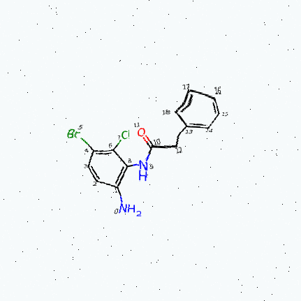 Nc1ccc(Br)c(Cl)c1NC(=O)Cc1ccccc1